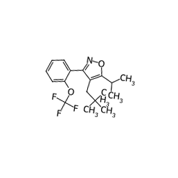 CC(C)c1onc(-c2ccccc2OC(F)(F)F)c1CC(C)(C)C